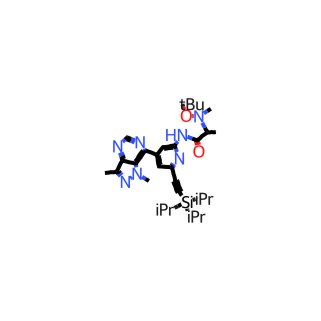 Cc1nn(C)c2c(-c3cc(C#C[Si](C(C)C)(C(C)C)C(C)C)nc(NC(=O)C(C)N(C)OC(C)(C)C)c3)ncnc12